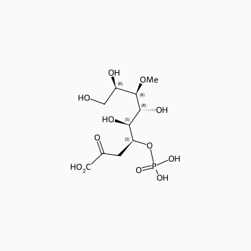 CO[C@@H]([C@H](O)[C@H](O)[C@H](CC(=O)C(=O)O)OP(=O)(O)O)[C@H](O)CO